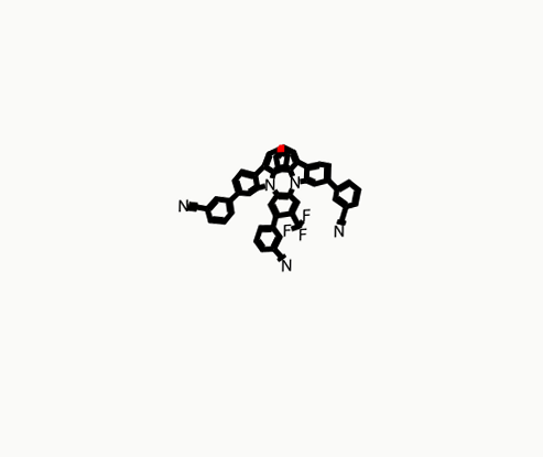 N#Cc1cccc(-c2ccc3c4ccccc4n(-c4cc(-c5cccc(C#N)c5)c(C(F)(F)F)cc4-n4c5ccccc5c5ccc(-c6cccc(C#N)c6)cc54)c3c2)c1